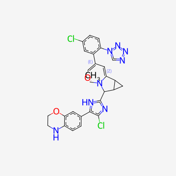 C/C=C(\C=C1\C2CC2C(c2nc(Cl)c(-c3ccc4c(c3)OCCN4)[nH]2)N1C=O)c1cc(Cl)ccc1-n1cnnn1